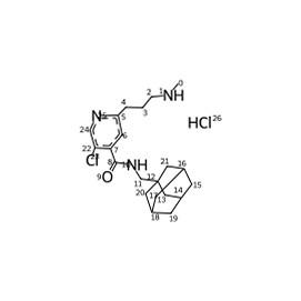 CNCCCc1cc(C(=O)NCC23CC4CC(CC(C4)C2)C3)c(Cl)cn1.Cl